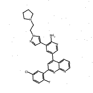 Nc1ncc(-c2cc(-c3cc(Cl)ccc3F)nc3ncccc23)cc1-c1cnn(CCN2CCCC2)c1